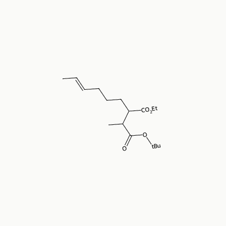 CC=CCCCC(C(=O)OCC)C(C)C(=O)OC(C)(C)C